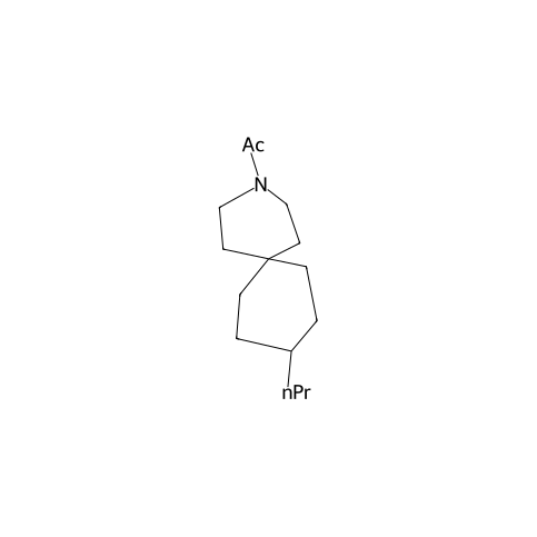 CCCC1CCC2(CC1)CCN(C(C)=O)CC2